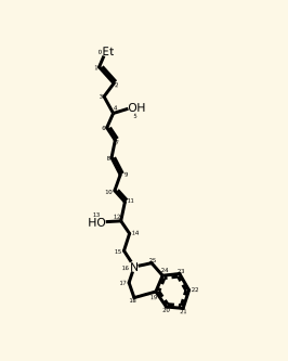 CCC=CCC(O)C=CC=CC=CC(O)CCN1CCc2ccccc2C1